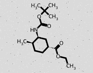 CCOC(=O)[C@@H]1CC[C@@H](C)[C@@H](NC(=O)OC(C)(C)C)C1